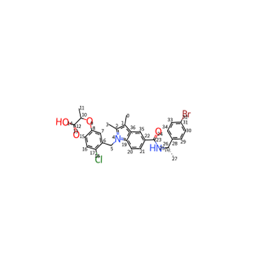 Cc1c(C)n(Cc2cc(OC(C)C(=O)O)ccc2Cl)c2ccc(C(=O)N[C@@H](C)c3ccc(Br)cc3)cc12